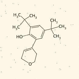 CC(C)(C)c1cc(C2=CCOCC2)c(O)c(C(C)(C)C)c1